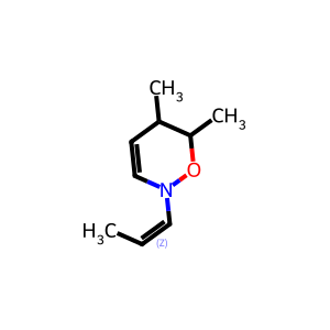 C/C=C\N1C=CC(C)C(C)O1